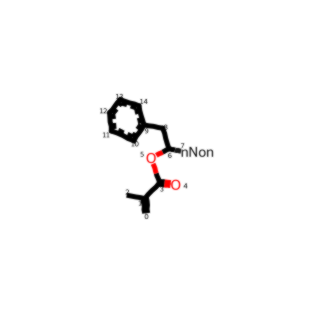 C=C(C)C(=O)OC(CCCCCCCCC)Cc1ccccc1